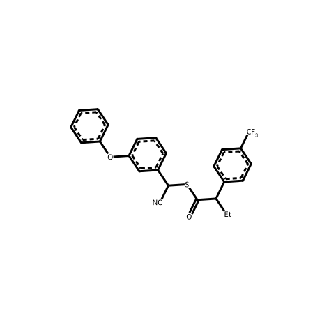 CCC(C(=O)SC(C#N)c1cccc(Oc2ccccc2)c1)c1ccc(C(F)(F)F)cc1